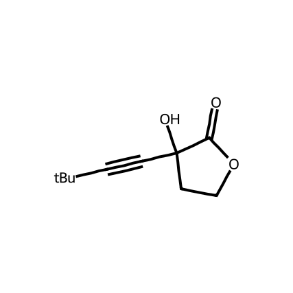 CC(C)(C)C#CC1(O)CCOC1=O